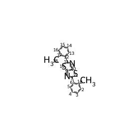 Cc1ccccc1-c1nc2sc(-c3ccccc3C)nc2s1